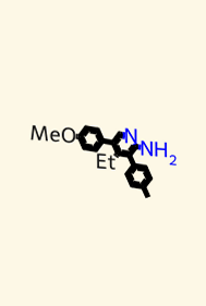 CCc1c(-c2ccc(OC)cc2)cnc(N)c1-c1ccc(C)cc1